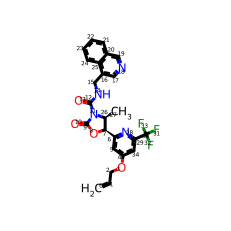 C=CCOc1cc([C@H]2OC(=O)N(C(=O)NCc3cncc4ccccc34)[C@H]2C)nc(C(F)(F)F)c1